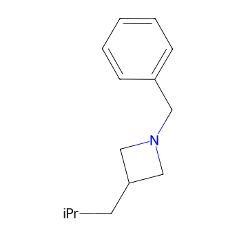 CC(C)CC1CN(Cc2ccccc2)C1